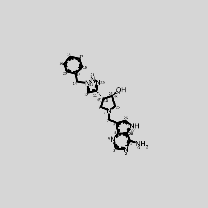 Nc1ncnc2c(CN3C[C@H](c4cn(Cc5ccccc5)nn4)[C@@H](O)C3)c[nH]c12